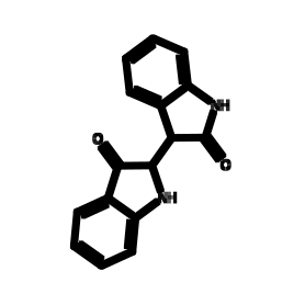 O=C1c2ccccc2NC1C1C(=O)Nc2ccccc21